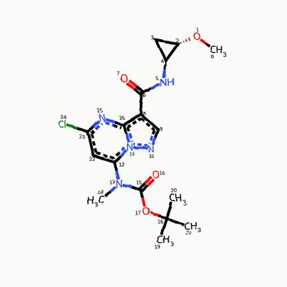 CO[C@H]1C[C@@H]1NC(=O)c1cnn2c(N(C)C(=O)OC(C)(C)C)cc(Cl)nc12